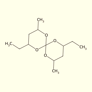 CCC1CC(C)OC2(OC(C)CC(CC)O2)O1